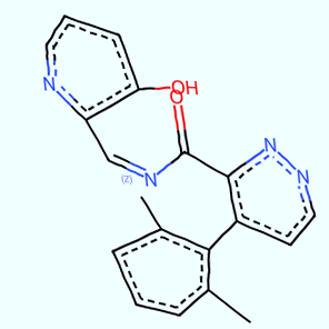 Cc1cccc(C)c1-c1ccnnc1C(=O)/N=C\c1ncccc1O